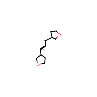 [CH](/C=C/C1CCOC1)C1CCOC1